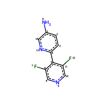 Nc1ccc(-c2c(F)cncc2F)nc1